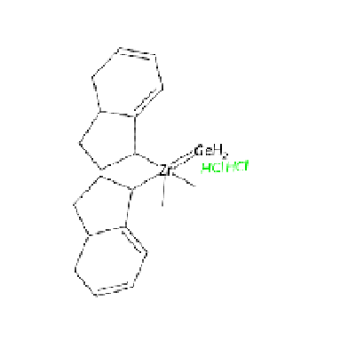 Cl.Cl.[CH3][Zr]([CH3])(=[GeH2])([CH]1CCC2CC=CC=C21)[CH]1CCC2CC=CC=C21